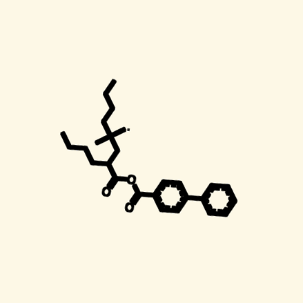 [CH2]C(C)(CCCC)CC(CCCC)C(=O)OC(=O)c1ccc(-c2ccccc2)cc1